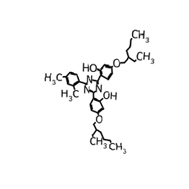 CCCCC(CC)COc1ccc(-c2nc(-c3ccc(C)cc3C)nc(-c3ccc(OCC(CC)CCCC)cc3O)n2)c(O)c1